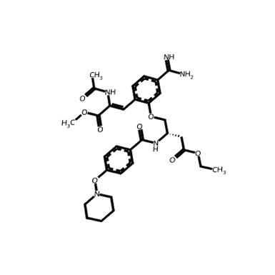 CCOC(=O)C[C@@H](COc1cc(C(=N)N)ccc1C=C(NC(C)=O)C(=O)OC)NC(=O)c1ccc(ON2CCCCC2)cc1